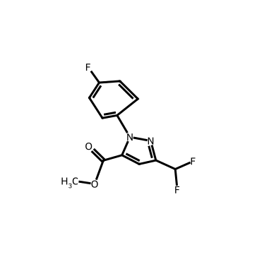 COC(=O)c1cc(C(F)F)nn1-c1ccc(F)cc1